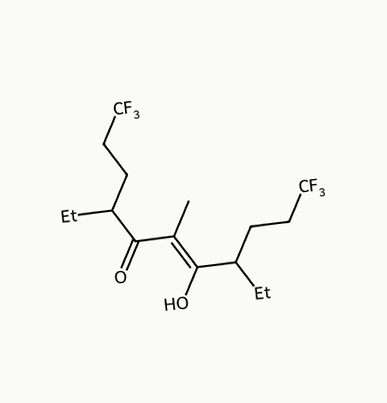 CCC(CCC(F)(F)F)C(=O)/C(C)=C(\O)C(CC)CCC(F)(F)F